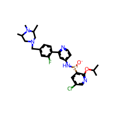 CC(C)Oc1ncc(Cl)cc1[S+]([O-])Nc1ccnc(-c2ccc(CN3CC(C)N(C)C(C)C3)cc2F)c1